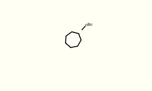 CCCCC.[CH]1CCCCCC1